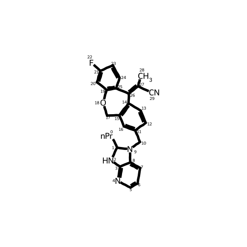 CCCC1Nc2ncccc2N1Cc1ccc2c(c1)COc1cc(F)ccc1C2=C(C)C#N